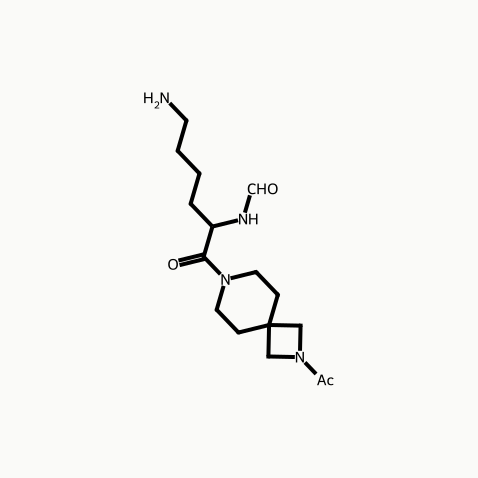 CC(=O)N1CC2(CCN(C(=O)C(CCCCN)NC=O)CC2)C1